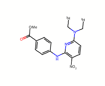 [2H]CN(C[2H])c1ccc([N+](=O)[O-])c(Nc2ccc(C(=O)OC)cc2)n1